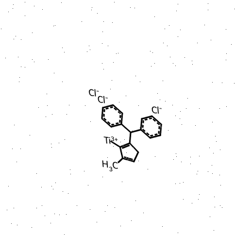 CC1=CCC(C(c2ccccc2)c2ccccc2)=[C]1[Ti+3].[Cl-].[Cl-].[Cl-]